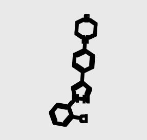 Clc1ccccc1-n1cc(-c2ccc(N3CCSCC3)cc2)cn1